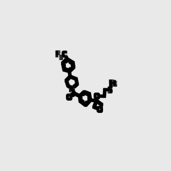 CCSCCOC1(c2ccc(C(=O)N3CCC(c4ccc(C(F)(F)F)cc4)CC3)cc2)COC1